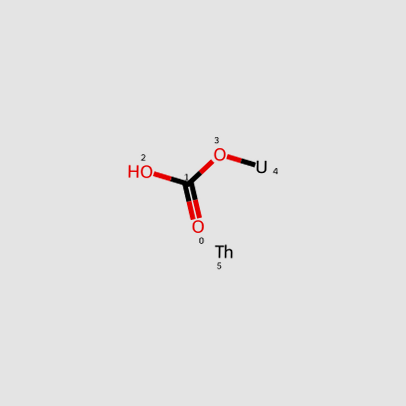 O=C(O)[O][U].[Th]